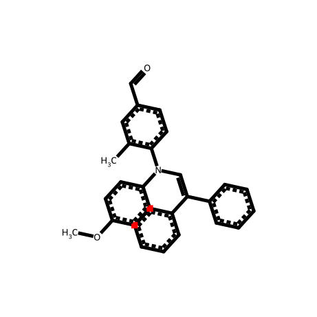 COc1ccc(N(C=C(c2ccccc2)c2ccccc2)c2ccc(C=O)cc2C)cc1